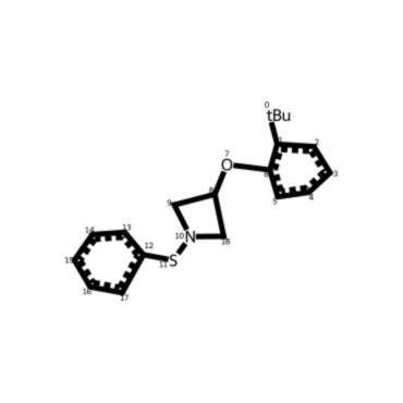 CC(C)(C)c1ccccc1OC1CN(Sc2ccccc2)C1